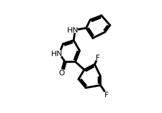 O=c1[nH]cc(Nc2ccccc2)cc1-c1ccc(F)cc1F